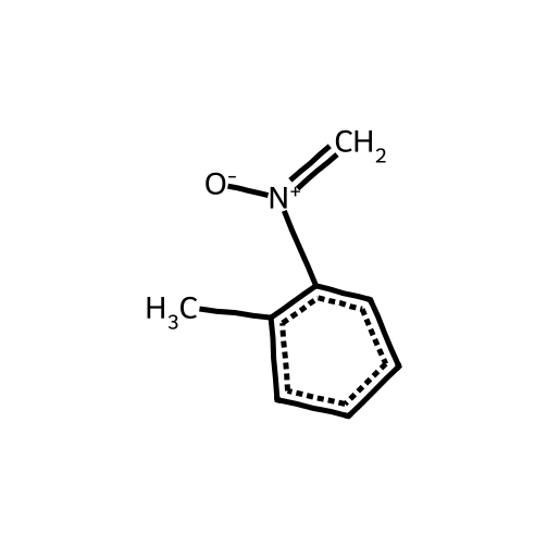 C=[N+]([O-])c1ccccc1C